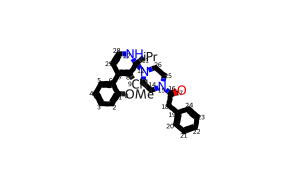 COc1ccccc1C1=C(C#N)C(C(C)C)(N2CCN(C(=O)Cc3ccccc3)CC2)NC=C1